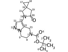 CC(C)(C)OC(=O)N1CCn2ncc(N3CC4(CC4)CC3=O)c2C1